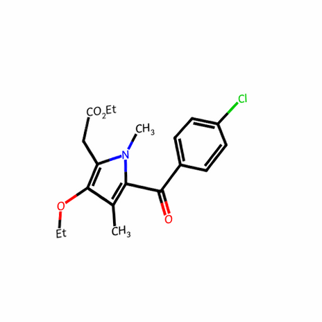 CCOC(=O)Cc1c(OCC)c(C)c(C(=O)c2ccc(Cl)cc2)n1C